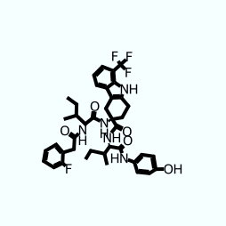 CCC(C)[C@H](NC(=O)Cc1ccccc1F)C(=O)N[C@]1(C(=O)N[C@H](C(=O)Nc2ccc(O)cc2)C(C)CC)CCc2[nH]c3c(C(F)(F)F)cccc3c2C1